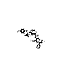 NC(=O)[C@@H](C1CCOCC1)N1CC[C@H](CNc2ncnc(N(Cc3ccc(C(F)(F)F)cc3)C3CC3)c2F)[C@@H](O)C1